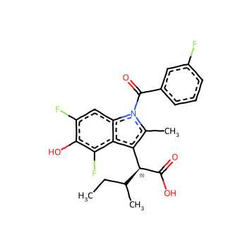 CCC(C)[C@H](C(=O)O)c1c(C)n(C(=O)c2cccc(F)c2)c2cc(F)c(O)c(F)c12